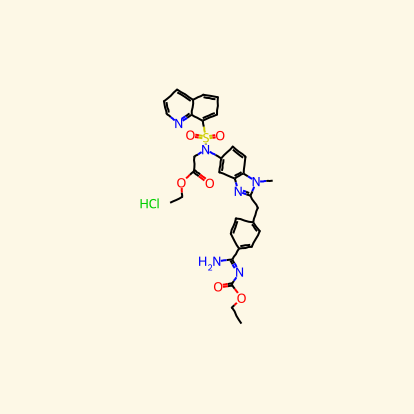 CCOC(=O)CN(c1ccc2c(c1)nc(Cc1ccc(C(N)=NC(=O)OCC)cc1)n2C)S(=O)(=O)c1cccc2cccnc12.Cl